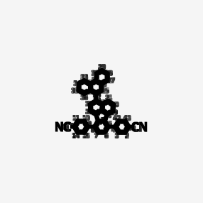 N#Cc1ccc(-c2ccc(-c3ccc(C#N)cc3)c3c2-c2cccc4c(-c5cc6ccccc6c6ccccc56)ccc-3c24)cc1